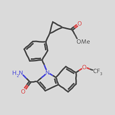 COC(=O)C1CC1c1cccc(-n2c(C(N)=O)cc3ccc(OC(F)(F)F)cc32)c1